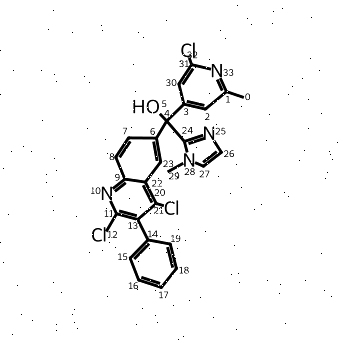 Cc1cc(C(O)(c2ccc3nc(Cl)c(-c4ccccc4)c(Cl)c3c2)c2nccn2C)cc(Cl)n1